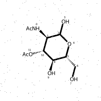 CC(=O)N[C@H]1C(O)O[C@H](CO)[C@@H](O)[C@@H]1OC(C)=O